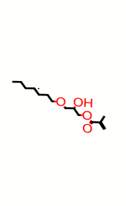 C=C(C)C(=O)OCC(O)COCCC[CH]CCC